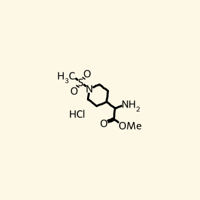 COC(=O)C(N)C1CCN(S(C)(=O)=O)CC1.Cl